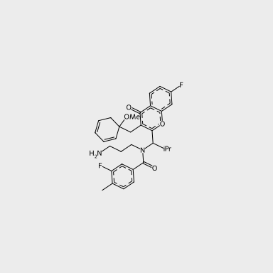 COC1(Cc2c(C(C(C)C)N(CCCN)C(=O)c3ccc(C)c(F)c3)oc3cc(F)ccc3c2=O)C=CC=CC1